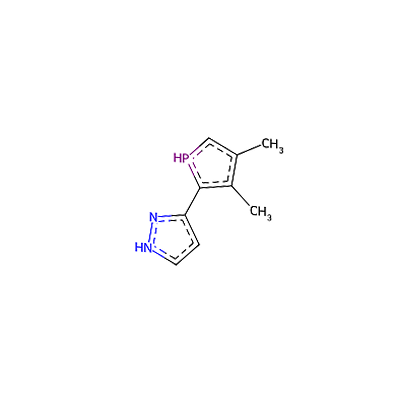 Cc1c[pH]c(-c2cc[nH]n2)c1C